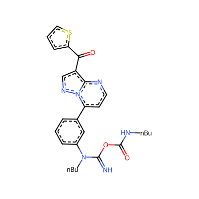 CCCCNC(=O)OC(=N)N(CCCC)c1cccc(-c2ccnc3c(C(=O)c4cccs4)cnn23)c1